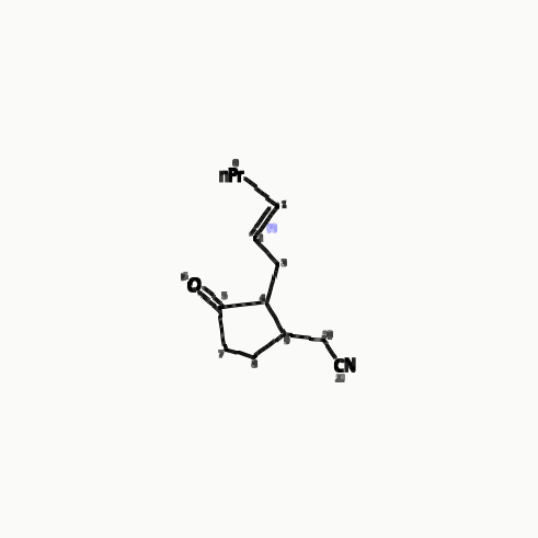 CCC/C=C/CC1C(=O)CCC1CC#N